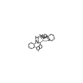 COc1ccccc1NC(=O)C(N)Cc1ccccc1O